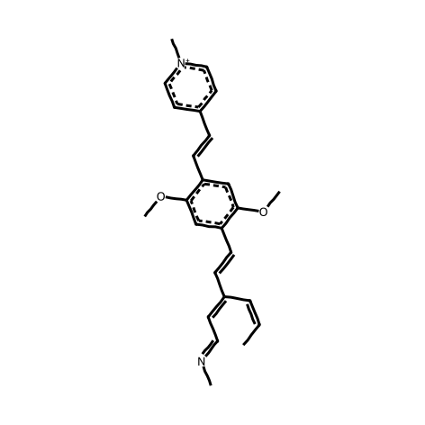 C\C=C/C(/C=C/c1cc(OC)c(/C=C/c2cc[n+](C)cc2)cc1OC)=C\C=N\C